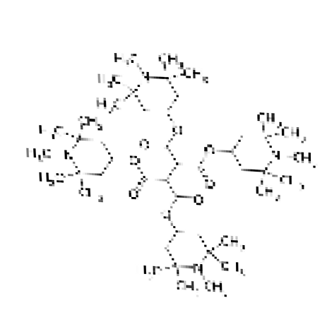 CN1C(C)(C)CC(OC(=O)C(C(=O)OC2CC(C)(C)N(C)C(C)(C)C2)C(C(=O)OC2CC(C)(C)N(C)C(C)(C)C2)C(=O)OC2CC(C)(C)N(C)C(C)(C)C2)CC1(C)C